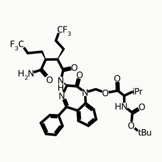 CC(C)C(NC(=O)OC(C)(C)C)C(=O)OCN1C(=O)[C@@H](NC(=O)[C@H](CCC(F)(F)F)[C@H](CCC(F)(F)F)C(N)=O)N=C(c2ccccc2)c2ccccc21